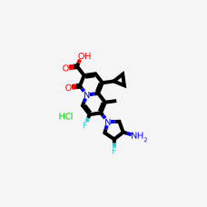 Cc1c(N2CC(N)C(F)C2)c(F)cn2c(=O)c(C(=O)O)cc(C3CC3)c12.Cl